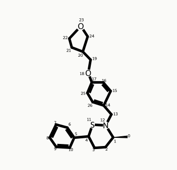 C[C@H]1CCC(c2ccccc2)SN1Cc1ccc(OCC2CCOC2)cc1